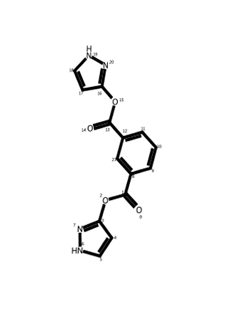 O=C(Oc1cc[nH]n1)c1cccc(C(=O)Oc2cc[nH]n2)c1